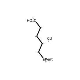 CCCCCCCCCC(=O)O.[Cd]